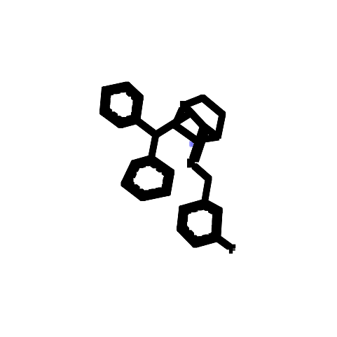 Fc1cccc(C/N=C2\C3CCN(CC3)C2C(c2ccccc2)c2ccccc2)c1